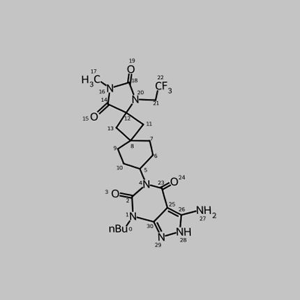 CCCCn1c(=O)n(C2CCC3(CC2)CC2(C3)C(=O)N(C)C(=O)N2CC(F)(F)F)c(=O)c2c(N)[nH]nc21